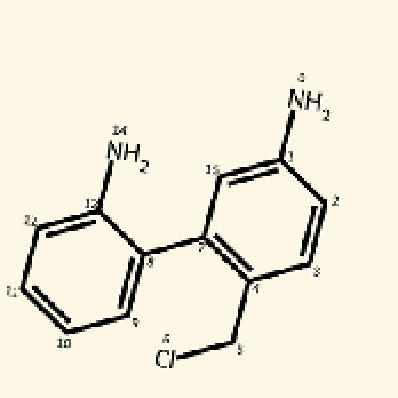 Nc1ccc(CCl)c(-c2ccccc2N)c1